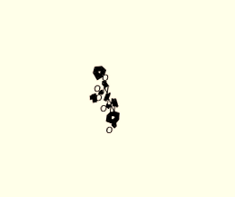 CC(C)(C)OC(=O)N(CCOc1ccccc1)CCn1ccn(-c2ccc(C=O)cc2)c1=O